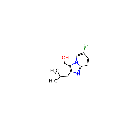 CC(C)Cc1nc2ccc(Br)cn2c1CO